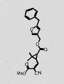 COC(=O)C(C#N)=CC1C(C(=O)OCc2coc(Cc3ccccc3)c2)C1(C)C